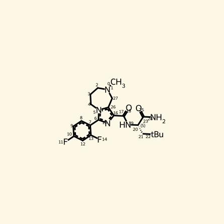 CN1CCCn2c(-c3ccc(F)cc3F)nc(C(=O)N[C@@H](CC(C)(C)C)C(N)=O)c2C1